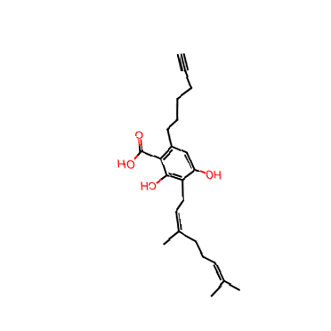 C#CCCCCc1cc(O)c(CC=C(C)CCC=C(C)C)c(O)c1C(=O)O